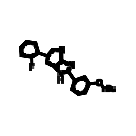 CCCCOc1cccc(-c2nc3ncc(-c4ccccc4F)cc3[nH]2)c1